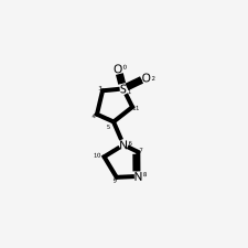 O=S1(=O)CCC(N2C=NCC2)C1